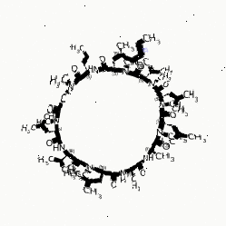 C/C=C/C[C@@H](C)C[C@H]1C(=O)N[C@@H](CCC)C(=O)N(C)CC(=O)N(C)[C@@H](CC(C)C)C(=O)N[C@H](C(C)C)C(=O)N(C)[C@H](CC(C)C)C(=O)N[C@H](C)C(=O)N[C@H](C)C(=O)N(C)[C@@H](CC(C)C)C(=O)N(C)[C@@H](CC(C)C)C(=O)N(C)[C@@H](C(C)C)C(=O)N1C